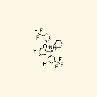 O=C(N[C@](Cc1ccccc1)(c1c[c]c(F)cc1)c1cc(F)cc(C(F)(F)F)c1)c1cccc(C(F)(F)F)c1